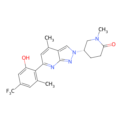 Cc1cc(C(F)(F)F)cc(O)c1-c1cc(C)c2cn([C@H]3CCC(=O)N(C)C3)nc2n1